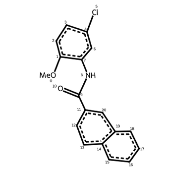 COc1ccc(Cl)cc1NC(=O)c1ccc2ccccc2c1